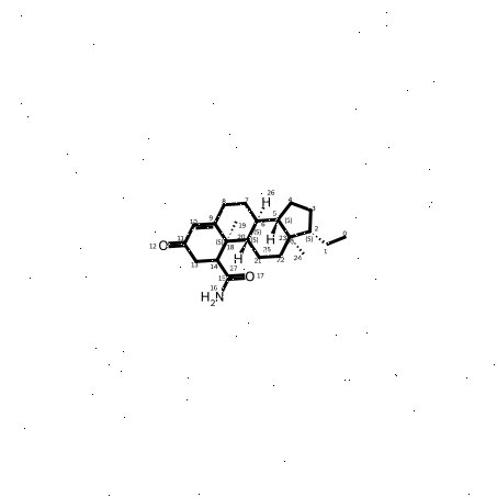 CC[C@H]1CC[C@H]2[C@@H]3CCC4=CC(=O)CC(C(N)=O)[C@]4(C)[C@H]3CC[C@]12C